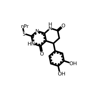 CCCSc1nc2c(c(=O)[nH]1)C(c1ccc(O)c(O)c1)CC(=O)N2